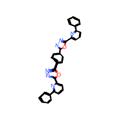 c1ccc(-c2cccc(-c3nnc(-c4ccc(-c5nnc(-c6cccc(-c7ccccc7)n6)o5)cc4)o3)n2)cc1